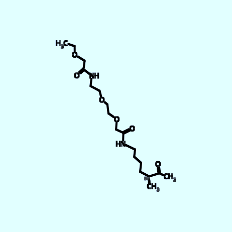 CCOCC(=O)NCCOCCOCC(=O)NCCCC[C@H](C)C(C)=O